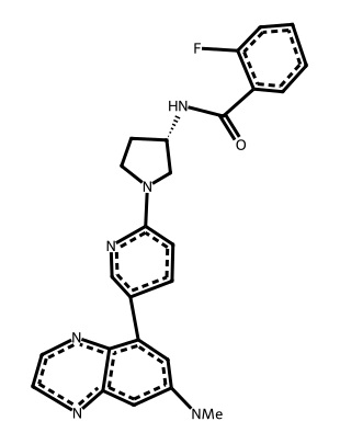 CNc1cc(-c2ccc(N3CC[C@H](NC(=O)c4ccccc4F)C3)nc2)c2nccnc2c1